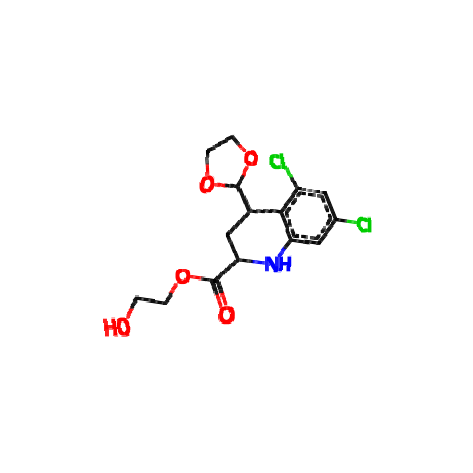 O=C(OCCO)C1CC(C2OCCO2)c2c(Cl)cc(Cl)cc2N1